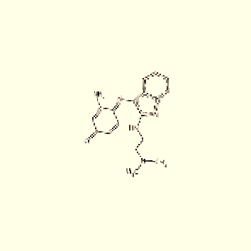 CN(C)CCNc1nn2ccccc2c1/N=C1\C=CC(=O)C=C1N